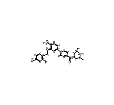 CC1CN(C(=O)c2ccc(-c3cnc(N)c(OCc4ccc(Cl)cc4Br)c3)cc2)CC(C)N1